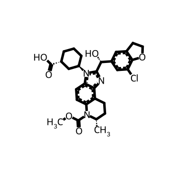 COC(=O)N1c2ccc3c(nc([C@H](O)c4cc(Cl)c5c(c4)CCO5)n3[C@@H]3CCC[C@@H](C(=O)O)C3)c2CC[C@@H]1C